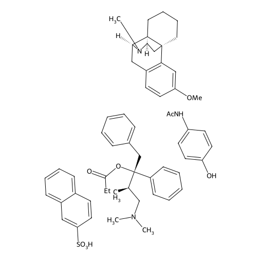 CC(=O)Nc1ccc(O)cc1.CCC(=O)O[C@](Cc1ccccc1)(c1ccccc1)[C@H](C)CN(C)C.COc1ccc2c(c1)[C@]13CCCC[C@@H]1[C@H](C2)N(C)CC3.O=S(=O)(O)c1ccc2ccccc2c1